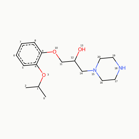 CC(C)Oc1ccccc1OCC(O)CN1CCNCC1